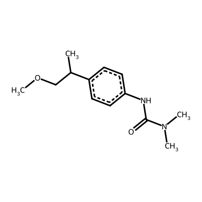 COCC(C)c1ccc(NC(=O)N(C)C)cc1